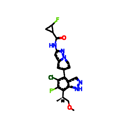 COC[C@H](C)c1c(F)c(Cl)c(-c2ccn3nc(NC(=O)C4CC4F)cc3c2)c2cn[nH]c12